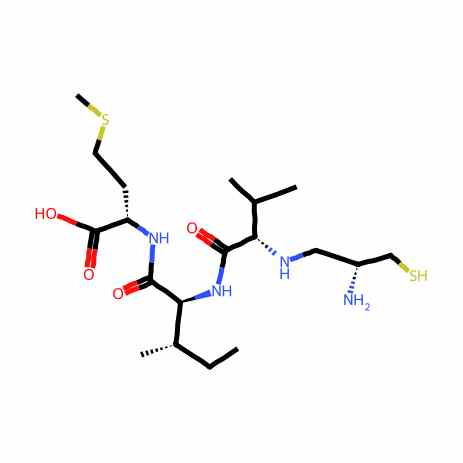 CC[C@H](C)[C@H](NC(=O)[C@@H](NC[C@@H](N)CS)C(C)C)C(=O)N[C@@H](CCSC)C(=O)O